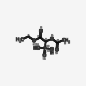 CCOC(=O)C(OC(C)=O)P(=O)(O)O